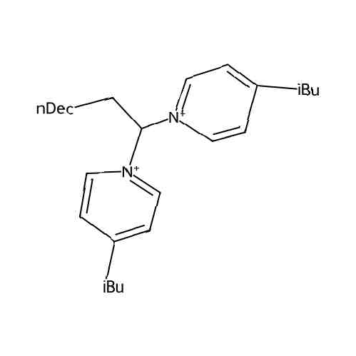 CCCCCCCCCCCC([n+]1ccc(C(C)CC)cc1)[n+]1ccc(C(C)CC)cc1